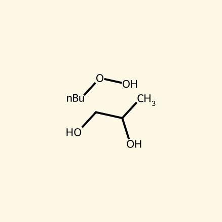 CC(O)CO.CCCCOO